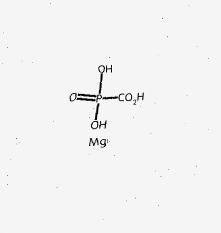 O=C(O)P(=O)(O)O.[Mg]